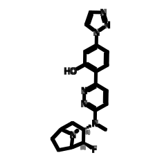 CN1C2CCC1[C@H](F)[C@@H](N(C)c1ccc(-c3ccc(-n4ccnn4)cc3O)nn1)C2